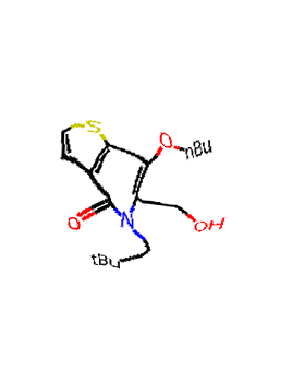 CCCCOc1c(CO)n(CC(C)(C)C)c(=O)c2ccsc12